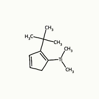 [CH3][Ti]([CH3])[C]1=C(C(C)(C)C)C=CC1